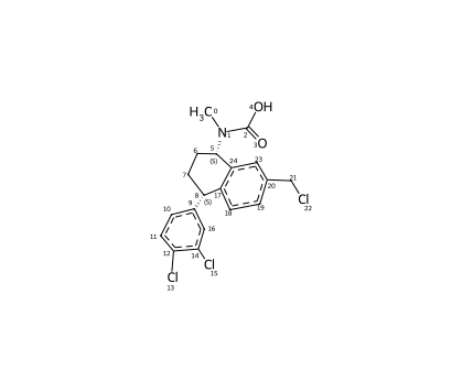 CN(C(=O)O)[C@H]1CC[C@@H](c2ccc(Cl)c(Cl)c2)c2ccc(CCl)cc21